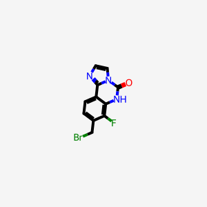 O=c1[nH]c2c(F)c(CBr)ccc2c2nccn12